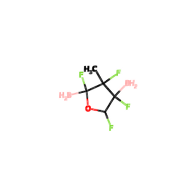 BC1(F)OC(F)C(B)(F)C1(C)F